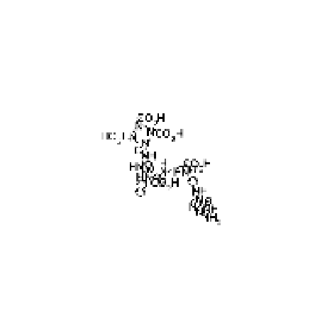 Nc1nc2ncc(CNc3ccc(C(=O)N[C@@H](CCCCNC(=O)C[C@H](NC(=O)[C@H](Cc4ccc5ccccc5c4)NC(=O)CNC(=O)CN4CCN(CC(=O)O)CCN(CC(=O)O)CCN(CC(=O)O)CC4)C(=O)O)C(=O)O)cc3)nc2c(=O)[nH]1